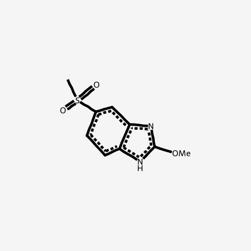 COc1nc2cc(S(C)(=O)=O)ccc2[nH]1